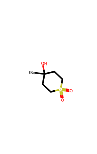 CC(C)(C)C1(O)CCS(=O)(=O)CC1